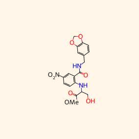 COC(=O)C(CO)Nc1ccc([N+](=O)[O-])cc1C(=O)NCc1ccc2c(c1)OCO2